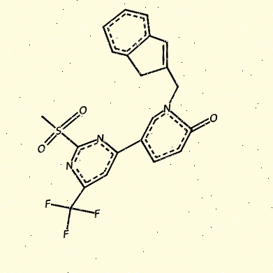 CS(=O)(=O)c1nc(-c2ccc(=O)n(CC3=Cc4ccccc4C3)c2)cc(C(F)(F)F)n1